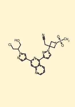 CS(=O)(=O)N1CC(CC#N)(n2ccc(-c3nc(-c4cnn(C(CO)CCl)c4)cc4ncccc34)n2)C1